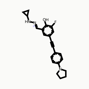 Oc1c(F)cc(C#Cc2ccc(N3CCCC3)cc2)cc1/C=N/NC1CC1